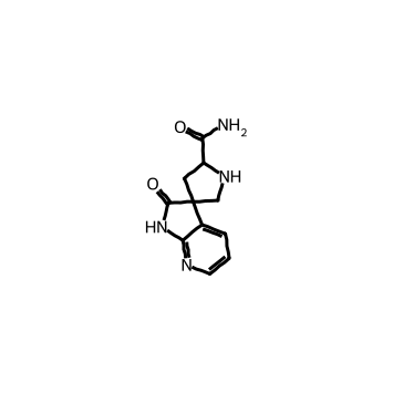 NC(=O)C1CC2(CN1)C(=O)Nc1ncccc12